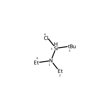 CCN(CC)[SiH](Cl)C(C)(C)C